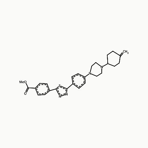 C=C1CCC(N2CCN(c3ccc(-c4nnc(-c5ccc(C(=O)OC)cc5)s4)cc3)CC2)CC1